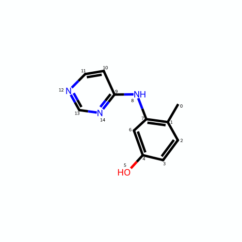 Cc1ccc(O)cc1Nc1ccncn1